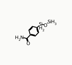 NC(=O)c1ccc([SiH2]O[SiH3])cc1